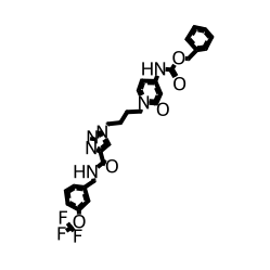 O=C(Nc1ccn(CCCCn2cc(C(=O)NCc3cccc(OC(F)(F)F)c3)nn2)c(=O)c1)OCc1ccccc1